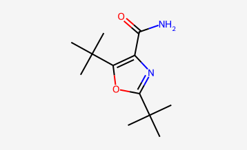 CC(C)(C)c1nc(C(N)=O)c(C(C)(C)C)o1